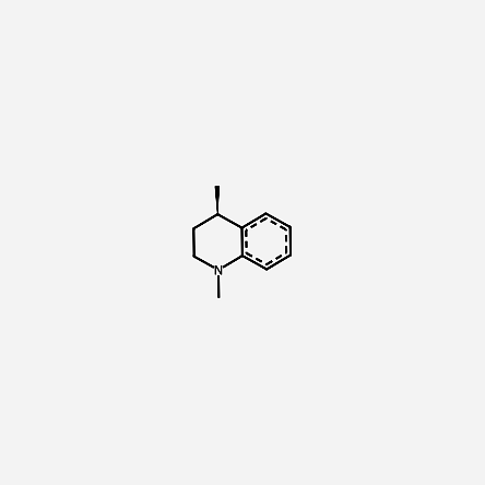 C[C@@H]1CCN(C)c2ccccc21